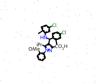 COc1ccccc1-n1nc(C(=O)O)c(C(Nc2cc(Cl)ccc2C)c2ccc(Cl)cc2C)c1C(C)C